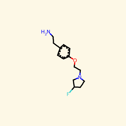 NCCc1ccc(OCCN2CCC(F)C2)cc1